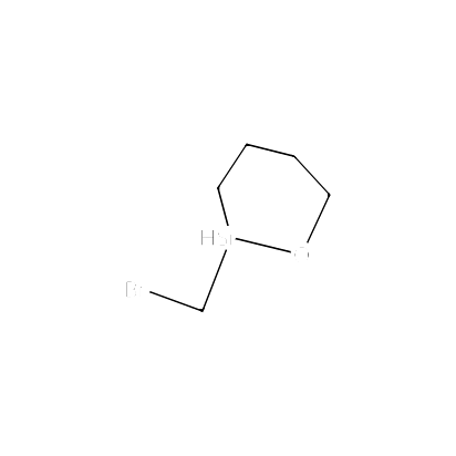 BrC[SiH]1CCCCO1